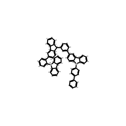 c1ccc(-c2ccc(-n3c4ccccc4c4cc(-c5cccc(C6c7ccccc7-c7cc(-c8ccccc8-n8c9ccccc9c9ccccc98)ccc76)c5)ccc43)cc2)cc1